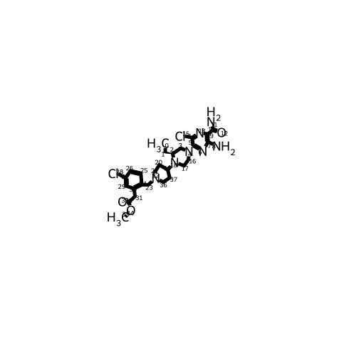 CC[C@H]1CN(c2nc(N)c(C(N)=O)nc2Cl)CCN1C1CCN(Cc2ccc(Cl)cc2CC(=O)OC)CC1